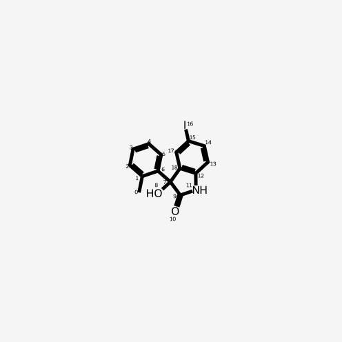 Cc1ccccc1C1(O)C(=O)Nc2ccc(I)cc21